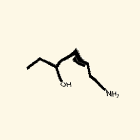 CCC(O)/C=C\CN